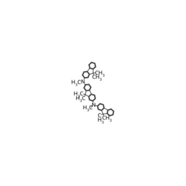 CN(c1ccc2c(c1)C(C)(C)c1ccccc1-2)c1ccc2c(c1)C(C)(C)c1cc(N(C)c3ccc4c(c3)C(C)(C)c3ccccc3-4)ccc1-2